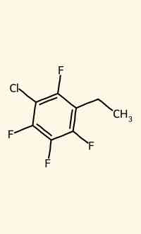 CCc1c(F)c(F)c(F)c(Cl)c1F